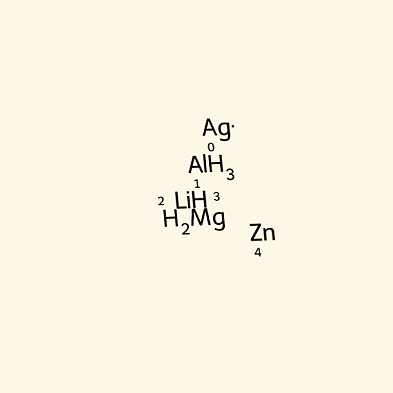 [Ag].[AlH3].[LiH].[MgH2].[Zn]